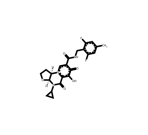 Cc1cc(F)c(CNC(=O)c2cn3c(c(O)c2=O)C(=O)N(C2CC2)[C@H]2OCC[C@H]23)c(F)c1